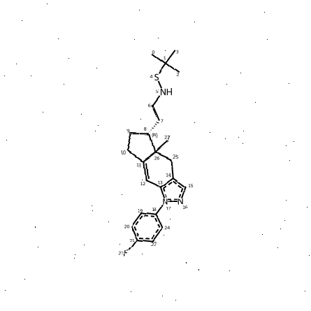 CC(C)(C)SNCC[C@H]1CCC2=Cc3c(cnn3-c3ccc(F)cc3)CC21C